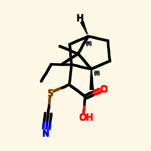 CCC1(C(SC#N)C(=O)O)C[C@H]2CC[C@@]1(C)C2(C)C